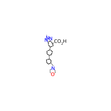 Cn1nc2cc(-c3ccc(-c4cccc(CN5CCOCC5)c4)cc3)cc(C(=O)O)c2n1